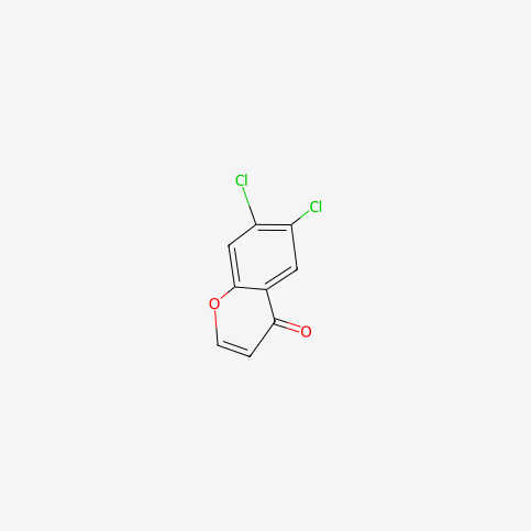 O=c1ccoc2cc(Cl)c(Cl)cc12